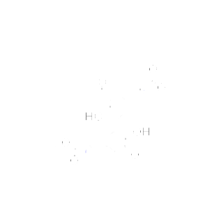 COc1cc(/C=C/C(=O)OC(C)C)cc(-c2cc(/C=C/C(=O)OC(C)C)cc(C=O)c2O)c1O